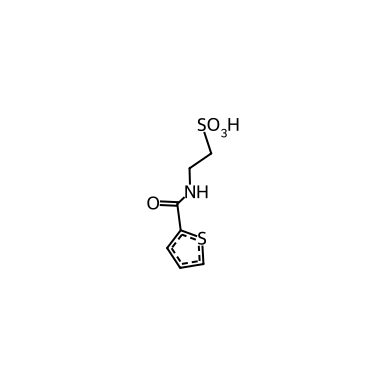 O=C(NCCS(=O)(=O)O)c1cccs1